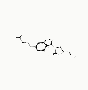 COC[C@H]1CN(c2noc3cc(CCCC(O)C(F)(F)F)ccc23)C(=O)O1